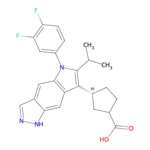 CC(C)c1c([C@@H]2CCC(C(=O)O)C2)c2cc3[nH]ncc3cc2n1-c1ccc(F)c(F)c1